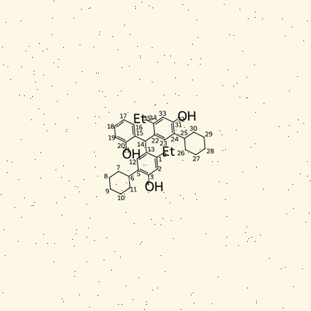 CCc1cc(O)c(C2CCCCC2)cc1C(c1ccccc1O)c1cc(C2CCCCC2)c(O)cc1CC